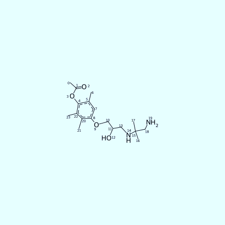 CC(=O)Oc1c(C)cc(OCC(O)CNC(C)(C)CN)c(C)c1C